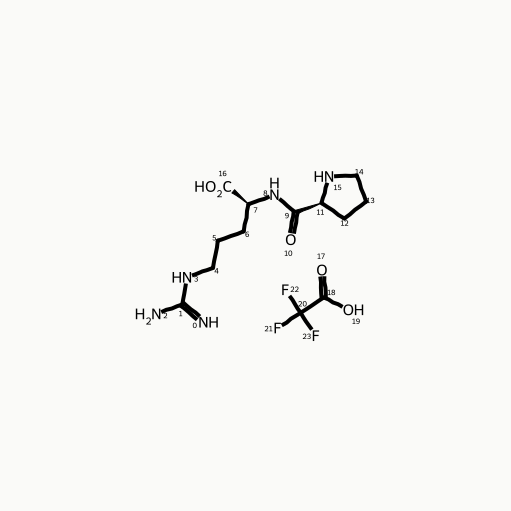 N=C(N)NCCC[C@H](NC(=O)[C@@H]1CCCN1)C(=O)O.O=C(O)C(F)(F)F